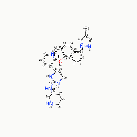 CCc1cnn(-c2cccc3c(Oc4ncccc4-c4ccnc(NC5CCCNC5)n4)c(C)ccc23)c1